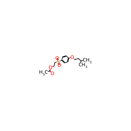 CC(=O)OCCS(=O)(=O)c1ccc(OCCC(C)C)cc1